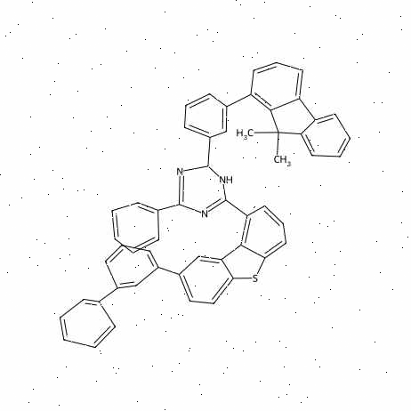 CC1(C)c2ccccc2-c2cccc(-c3cccc(C4N=C(c5ccccc5)N=C(c5cccc6sc7ccc(-c8cccc(-c9ccccc9)c8)cc7c56)N4)c3)c21